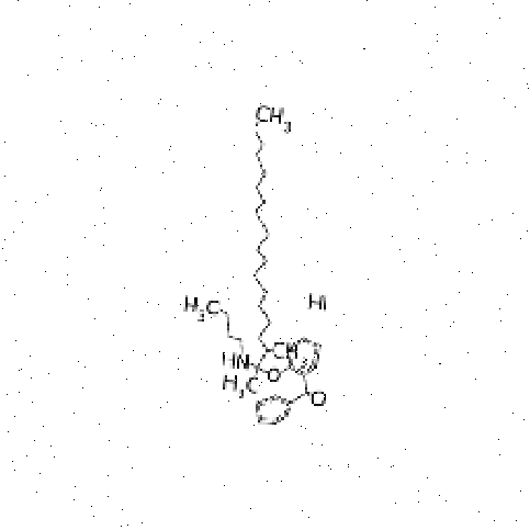 CCCCCCCCCCCCCCCCC(C)C(C)(NCCCC)Oc1ccccc1C(=O)c1ccccc1.I